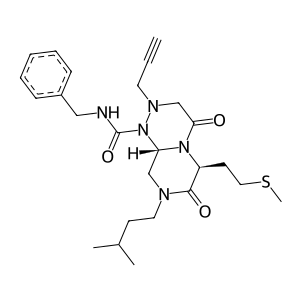 C#CCN1CC(=O)N2[C@@H](CCSC)C(=O)N(CCC(C)C)C[C@@H]2N1C(=O)NCc1ccccc1